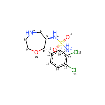 NS(=O)(=O)N[C@@H]1CNCCO[C@H]1c1ccc(Cl)c(Cl)c1